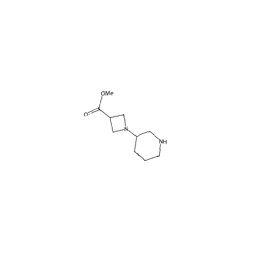 COC(=O)C1CN(C2CCCNC2)C1